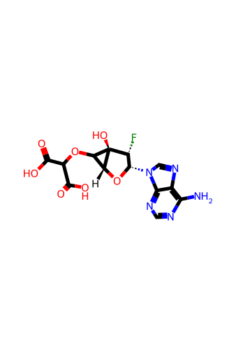 Nc1ncnc2c1ncn2[C@@H]1O[C@@H]2C(OC(C(=O)O)C(=O)O)[C@]2(O)[C@@H]1F